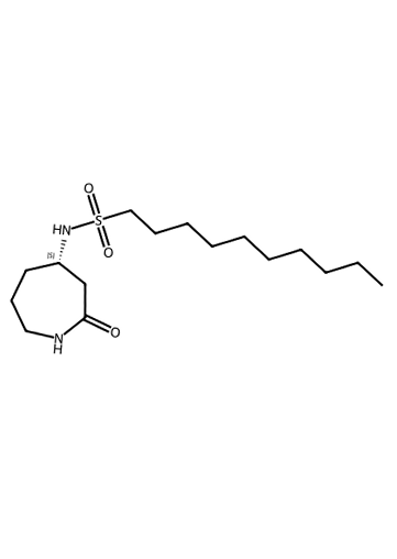 CCCCCCCCCCS(=O)(=O)N[C@H]1CCCNC(=O)C1